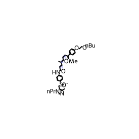 C=C(\C=C/C(OC)=C(C)/C=C/C(=O)Nc1ccc([S+]([O-])Cc2c(C)ncn2CCC)cc1)c1ccc(OCCOCCCC)cc1